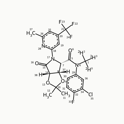 [2H]C([2H])([2H])N(C(=O)[C@@H]1[C@@H]2OC(C)(C)O[C@@H]2C(=O)N1c1cc(C(F)(F)F)cc(C)n1)c1ccc(F)c(Cl)c1